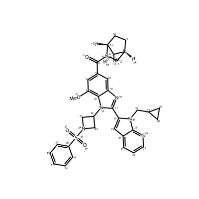 COc1cc(C(=O)N2C[C@H]3CC[C@@H]2[C@@H]3N)cc2nc(-c3cc4cccnc4n3CC3CC3)n(C3CN(S(=O)(=O)c4ccccc4)C3)c12